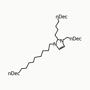 CCCCCCCCCCCCCCCCCCCN1C=CN(CCCCCCCCCCC)C1CCCCCCCCCCCCCC